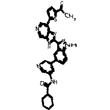 CC(=O)c1ccc(-c2cncc3[nH]c(-c4n[nH]c5ccc(-c6cncc(NC(=O)C7CCCCC7)c6)cc45)nc23)s1